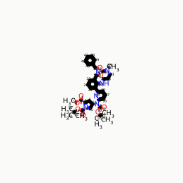 COC(=O)[C@@H]1C[C@H](N(C(=O)OC(C)(C)C)c2cccc(-c3cccc(C#N)c3NCCCN(C)C(=O)OCc3ccccc3)n2)CN1C(=O)OC(C)(C)C